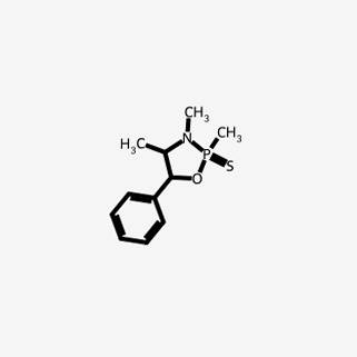 CC1C(c2ccccc2)OP(C)(=S)N1C